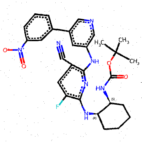 CC(C)(C)OC(=O)N[C@H]1CCCC[C@H]1Nc1nc(Nc2cncc(-c3cccc([N+](=O)[O-])c3)c2)c(C#N)cc1F